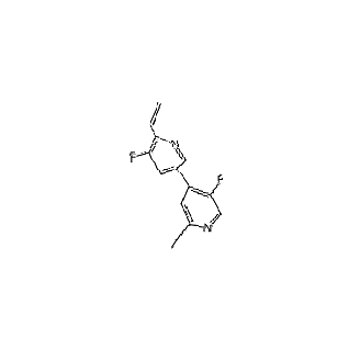 C=Cc1ncc(-c2cc(C)ncc2F)cc1F